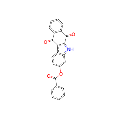 O=C(Oc1ccc2c3c([nH]c2c1)C(=O)c1ccccc1C3=O)c1ccccc1